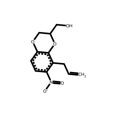 C=CCc1c([N+](=O)[O-])ccc2c1OC(CO)CO2